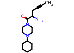 CC#CCC(N)C(=O)N1CCN(C2CCCCC2)CC1